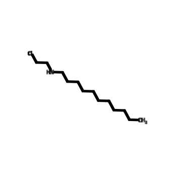 CCCCCCCCCCCNCCCl